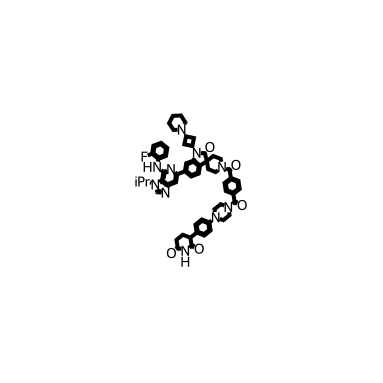 CC(C)n1cnc2cc(-c3ccc4c(c3)N([C@H]3C[C@@H](N5CCCCC5)C3)C(=O)C43CCN(C(=O)c4ccc(C(=O)N5CCN(c6ccc(C7CCC(=O)NC7=O)cc6)CC5)cc4)CC3)nc(Nc3ccccc3F)c21